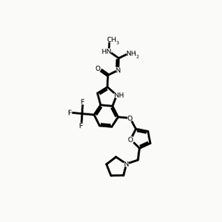 CNC(N)=NC(=O)c1cc2c(C(F)(F)F)ccc(Oc3ccc(CN4CCCC4)o3)c2[nH]1